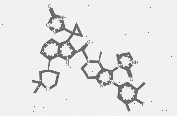 Cc1cc(-n2nc3c(c2-n2cc[nH]c2=O)[C@H](C)N(C(=O)c2[nH]c4c([C@H]5CCOC(C)(C)C5)cccc4c2C2(c4noc(=O)[nH]4)CC2)CC3)cc(C)c1F